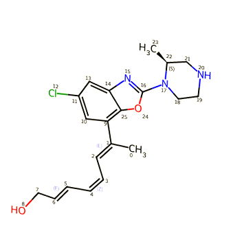 C\C(=C/C=C\C=C\CO)c1cc(Cl)cc2nc(N3CCNC[C@@H]3C)oc12